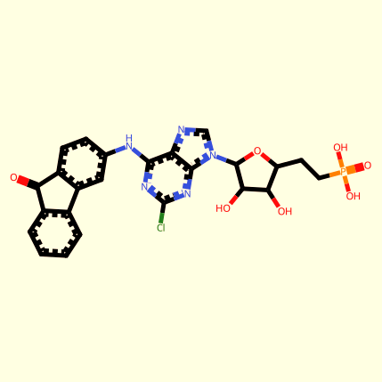 O=C1c2ccccc2-c2cc(Nc3nc(Cl)nc4c3ncn4C3OC(CCP(=O)(O)O)C(O)C3O)ccc21